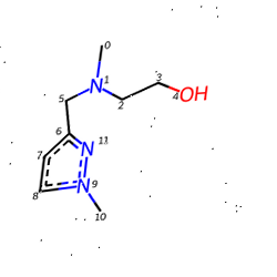 CN(CCO)Cc1ccn(C)n1